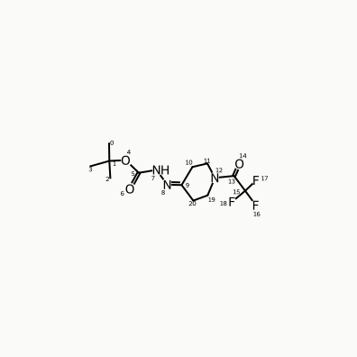 CC(C)(C)OC(=O)NN=C1CCN(C(=O)C(F)(F)F)CC1